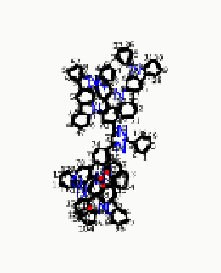 c1ccc(-c2nc(-c3ccc(-c4ccncc4-n4c5ccccc5c5cc6c7ccccc7n(-c7ccccc7)c6cc54)c(-n4c5ccccc5c5cc6c7ccccc7n(-c7ccccc7)c6cc54)c3)cc(-c3ccc(-c4ccncc4-n4c5ccccc5c5cc6c7ccccc7n(-c7ccccc7)c6cc54)c(-n4c5ccccc5c5cc6c7ccccc7n(-c7ccccc7)c6cc54)c3)n2)cc1